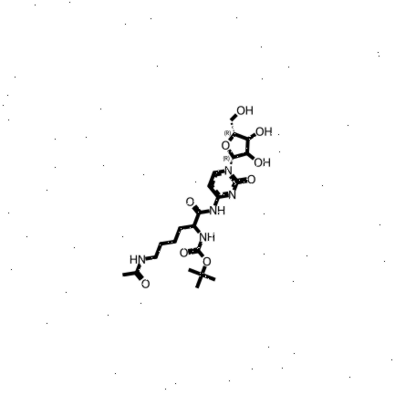 CC(=O)NCCCCC(NC(=O)OC(C)(C)C)C(=O)Nc1ccn([C@@H]2O[C@H](CO)C(O)C2O)c(=O)n1